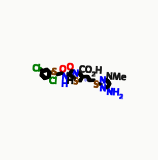 CNc1cc(N)nc(SC/C=C/C2=C(C(=O)O)N3C(=O)[C@@H](NC(=O)CSc4cc(Cl)ccc4Cl)[C@H]3SC2)n1